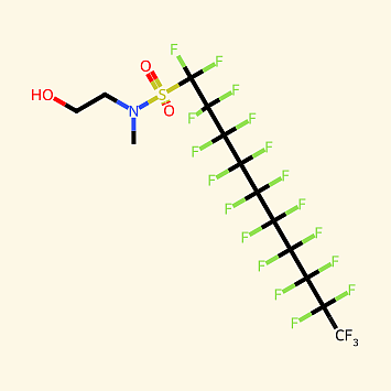 CN(CCO)S(=O)(=O)C(F)(F)C(F)(F)C(F)(F)C(F)(F)C(F)(F)C(F)(F)C(F)(F)C(F)(F)C(F)(F)C(F)(F)F